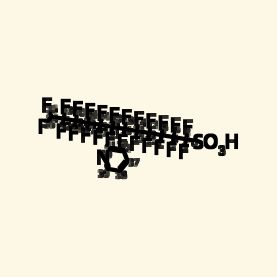 O=S(=O)(O)C(F)(F)C(F)(F)C(F)(F)C(F)(F)C(F)(F)C(F)(F)C(F)(F)C(F)(F)C(F)(F)C(F)(F)C(F)(F)C(F)F.c1ccncc1